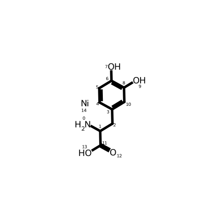 NC(Cc1ccc(O)c(O)c1)C(=O)O.[Ni]